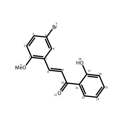 COc1ccc(Br)cc1/C=C/C(=O)c1ccccc1O